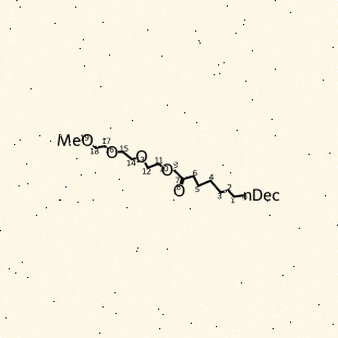 CCCCCCCCCCCCCCCCC(=O)COCCOCCOCCOC